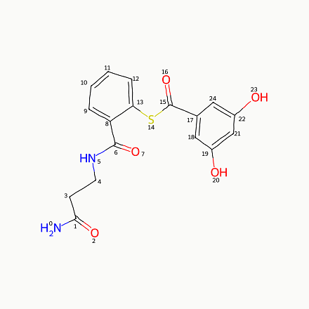 NC(=O)CCNC(=O)c1ccccc1SC(=O)c1cc(O)cc(O)c1